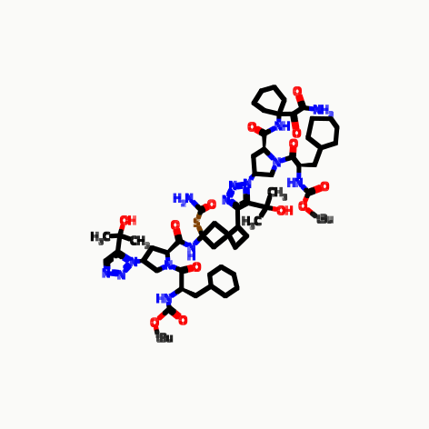 CC(C)(C)OC(=O)N[C@H](CC1CCCCC1)C(=O)N1C[C@@H](n2nncc2C(C)(C)O)C[C@H]1C(=O)NC1(SC(N)=O)CC2(CCC2c2nnn([C@H]3C[C@@H](C(=O)NC4(C(=O)C(N)=O)CCCCC4)N(C(=O)[C@@H](CC4CCCCC4)NC(=O)OC(C)(C)C)C3)c2C(C)(C)O)C1